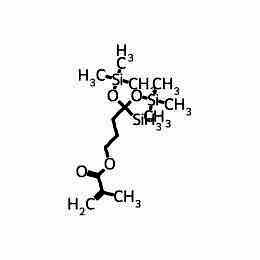 C=C(C)C(=O)OCCCC([SiH3])(O[Si](C)(C)C)O[Si](C)(C)C